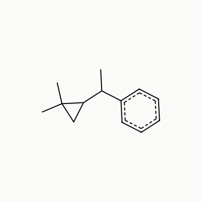 CC(c1ccccc1)C1CC1(C)C